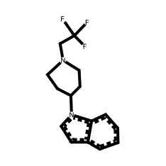 FC(F)(F)CN1CCC(n2c[c]c3ccccc32)CC1